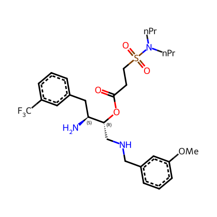 CCCN(CCC)S(=O)(=O)CCC(=O)O[C@H](CNCc1cccc(OC)c1)[C@@H](N)Cc1cccc(C(F)(F)F)c1